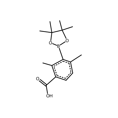 Cc1ccc(C(=O)O)c(C)c1B1OC(C)(C)C(C)(C)O1